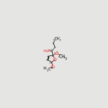 CCCC(O)C1(OC)C=CC(OC)O1